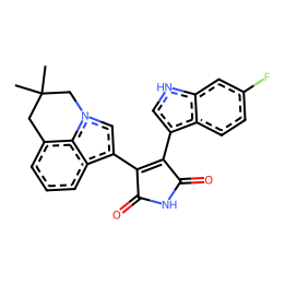 CC1(C)Cc2cccc3c(C4=C(c5c[nH]c6cc(F)ccc56)C(=O)NC4=O)cn(c23)C1